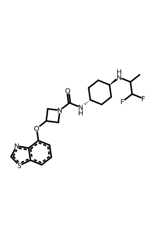 CC(N[C@H]1CC[C@H](NC(=O)N2CC(Oc3cccc4scnc34)C2)CC1)C(F)F